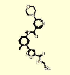 Cc1ccc(NC(=O)c2cncc(N3CCOCC3)c2)cc1-c1cc(C(=O)NCC(C)(C)C)on1